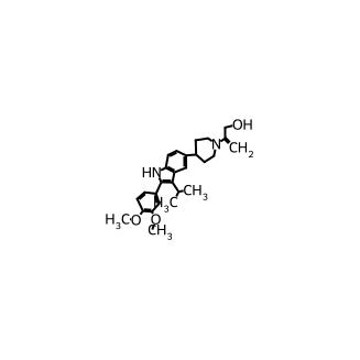 C=C(CO)N1CCC(c2ccc3[nH]c(-c4ccc(OC)c(OC)c4)c(C(C)C)c3c2)CC1